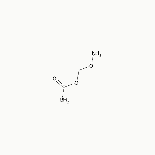 BC(=O)OCON